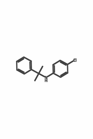 CC(C)(Nc1ccc(Cl)cc1)c1ccccc1